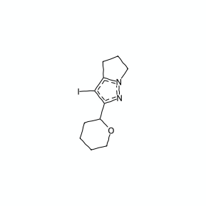 Ic1c(C2CCCCO2)nn2c1CCC2